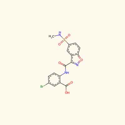 CNS(=O)(=O)c1ccc2onc(C(=O)Nc3ccc(Br)cc3C(=O)O)c2c1